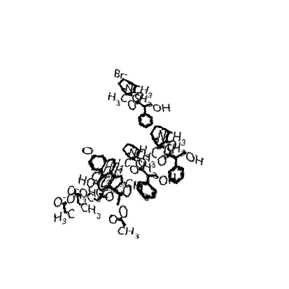 CC(C)[N+]1(C)C2CCC1CC(OC(=O)C(CO)c1ccccc1)C2.CC(C)[N+]1(C)C2CCC1CC(OC(=O)C(CO)c1ccccc1)C2.CC(C)[N+]1(C)C2CCC1CC(OC(=O)C(CO)c1ccccc1)C2.CCC(=O)OCC(=O)[C@@]1(OC(=O)CC)[C@@H](C)C[C@H]2[C@@H]3CCC4=CC(=O)C=C[C@]4(C)C3(Cl)[C@@H](O)C[C@@]21C.CCC(=O)[O-].CCC(=O)[O-].[Br-]